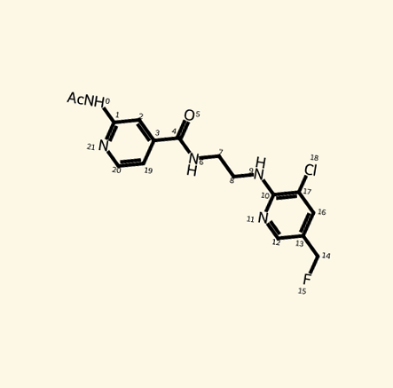 CC(=O)Nc1cc(C(=O)NCCNc2ncc(CF)cc2Cl)ccn1